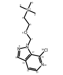 C[Si](C)(C)CCOCn1ncc2ccnc(Cl)c21